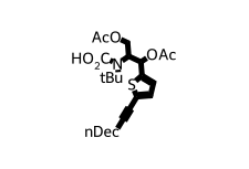 CCCCCCCCCCC#Cc1ccc(C(OC(C)=O)C(COC(C)=O)N(C(=O)O)C(C)(C)C)s1